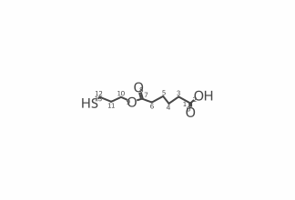 O=C(O)CCCCC(=O)OCCCS